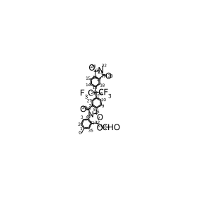 Cc1ccc(N2C(=O)c3ccc(C(c4ccc5c(c4)C(=O)N(C)C5=O)(C(F)(F)F)C(F)(F)F)cc3C2=O)c(COC=O)c1